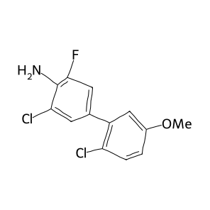 COc1ccc(Cl)c(-c2cc(F)c(N)c(Cl)c2)c1